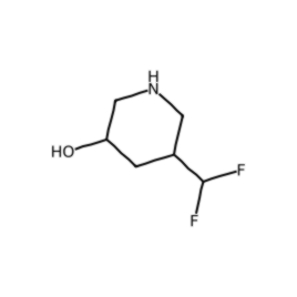 OC1CNCC(C(F)F)C1